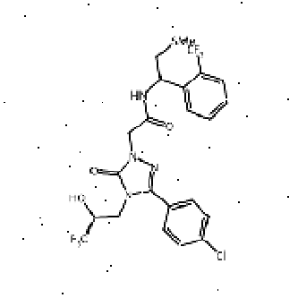 CSCC(NC(=O)Cn1nc(-c2ccc(Cl)cc2)n(C[C@H](O)C(F)(F)F)c1=O)c1ccccc1C(F)(F)F